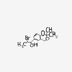 CC(Br)C(O)c1ccc2c(c1)COC(C)(C)O2